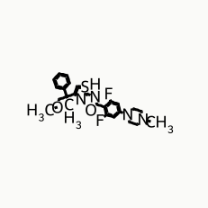 COCC(C)(c1ccccc1)c1csc(NC(=O)c2c(F)cc(N3CCN(C)CC3)cc2F)n1